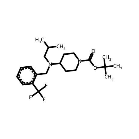 CC(C)CN(Cc1ccccc1C(F)(F)F)C1CCN(C(=O)OC(C)(C)C)CC1